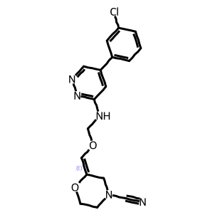 N#CN1CCO/C(=C/OCNc2cc(-c3cccc(Cl)c3)cnn2)C1